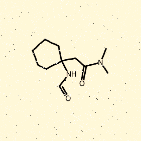 CN(C)C(=O)CC1(N[C]=O)CCCCC1